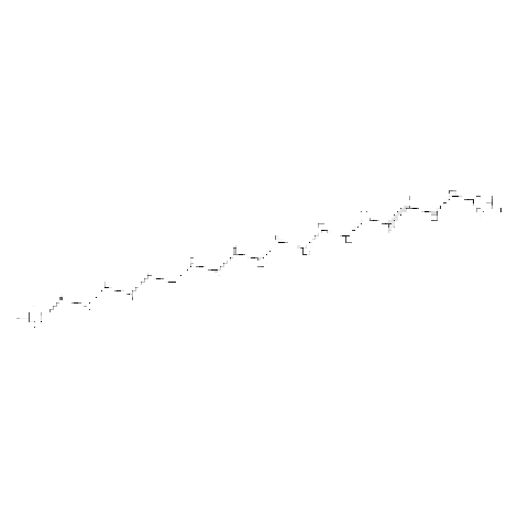 [CH2]CCCCCCCCCCCCCCCC=CCCC